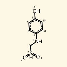 O=[SH](=O)CNc1ccc(O)cc1